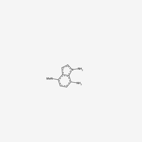 CNc1ccc(N)c2c1ccn2N